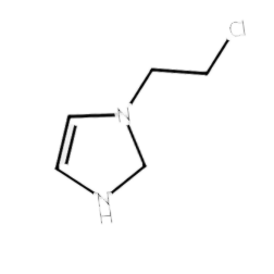 ClCCN1C=CNC1